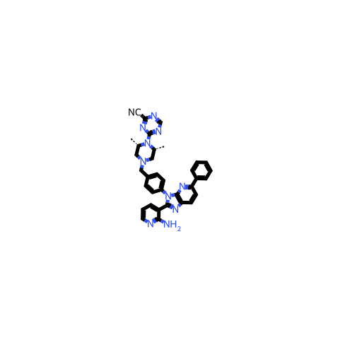 C[C@@H]1CN(Cc2ccc(-n3c(-c4cccnc4N)nc4ccc(-c5ccccc5)nc43)cc2)C[C@H](C)N1c1ncnc(C#N)n1